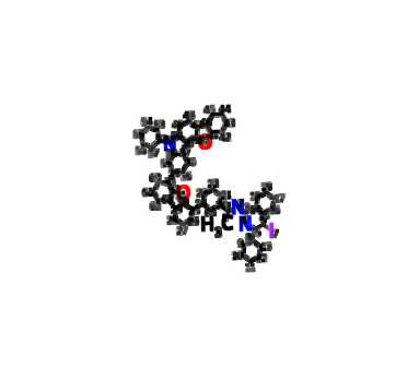 C[C@H](/N=C(\N=C(/CI)c1ccccc1)c1ccccc1)c1cccc(-c2cccc3c2oc2c(-c4ccc5c6c7oc8ccccc8c7ccc6n(-c6ccccc6)c5c4)cccc23)c1